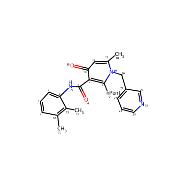 CCCCCc1c(C(=O)Nc2cccc(C)c2C)c(=O)cc(C)n1Cc1cccnc1